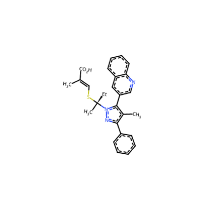 CC[C@@](C)(S/C=C(\C)C(=O)O)n1nc(-c2ccccc2)c(C)c1-c1cnc2ccccc2c1